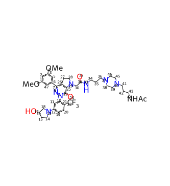 COc1cc(OC)cc(-c2nn(-c3cc(N4CCC(O)C4)ccc3C(F)(F)F)c(=O)c3c2CCN3CC(=O)NCCCN2CCN(CCCNC(C)=O)CC2)c1